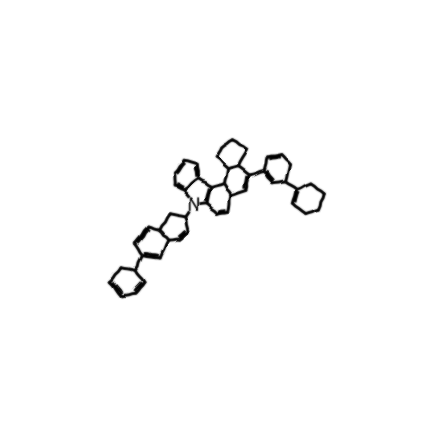 C1=CCC(C2=CC3C=CC(n4c5c(c6ccccc64)C4C(C=C5)C=C(C5=CC(C6=CCCCC6)CC=C5)C5CCCCC54)CC3C=C2)C=C1